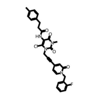 Cc1ccc(CCC(=O)Nc2c(Cl)n(CC#Cc3ccn(Cc4ccccc4F)c(=O)c3)c(=O)n(C)c2=O)cc1